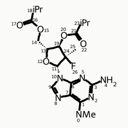 CNc1nc(N)nc2c1ncn2[C@@H]1O[C@H](COC(=O)C(C)C)[C@@H](OC(=O)C(C)C)[C@@]1(C)F